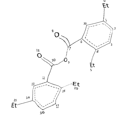 CCc1ccc(CC)c(C(=O)OC(=O)c2cc(CC)ccc2CC)c1